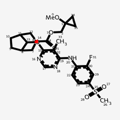 COC1(COC(=O)N2CC3CCC(C2)C3Oc2ncnc(Nc3ccc(S(C)(=O)=O)cc3F)c2C)CC1